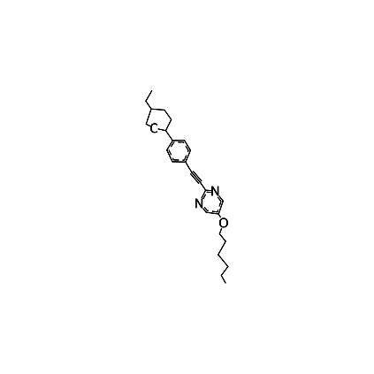 CCCCCCOc1cnc(C#Cc2ccc(C3CCC(CC)CC3)cc2)nc1